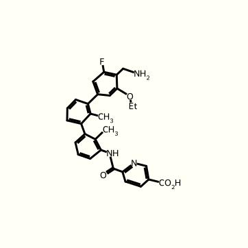 CCOc1cc(-c2cccc(-c3cccc(NC(=O)c4ccc(C(=O)O)cn4)c3C)c2C)cc(F)c1CN